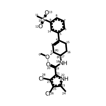 CO[C@@H]1C=C(c2cccc(S(C)(=O)=O)c2)CC[C@H]1NC(=O)c1[nH]c(C)c(Cl)c1Cl